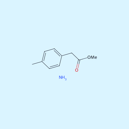 COC(=O)Cc1ccc(C)cc1.N